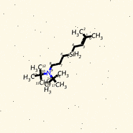 CC(C)=CC[SiH2]CCCN(C(C)(C)C)C(C)(C)C